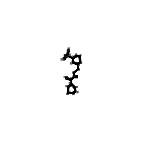 O=C(NCCc1cccc([SH](=O)=O)c1)c1ccccc1